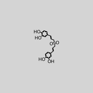 O=S(=O)(CC=Cc1ccc(O)c(O)c1)CC=Cc1ccc(O)c(O)c1